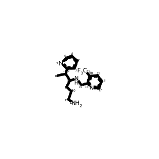 CC(c1ccccn1)C(CCCN)NCc1ncccc1C(F)(F)F